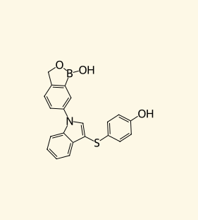 OB1OCc2ccc(-n3cc(Sc4ccc(O)cc4)c4ccccc43)cc21